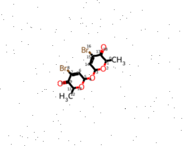 CC1OC(OC2C=C(Br)C(=O)C(C)O2)C=C(Br)C1=O